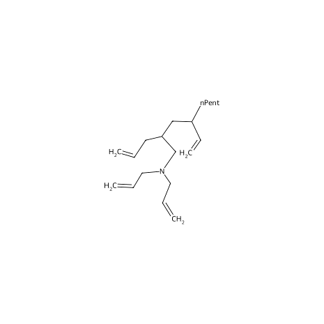 C=CCC(CC(C=C)CCCCC)CN(CC=C)CC=C